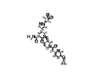 NC(=O)c1cc(-c2cnn(C3CS(=O)(=O)C3)c2)cnc1O[C@H]1CCN(C(=O)Cc2ccc(OC3CC3)cn2)C[C@H]1F